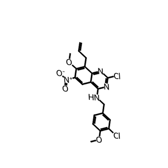 C=CCc1c(OC)c([N+](=O)[O-])cc2c(NCc3ccc(OC)c(Cl)c3)nc(Cl)nc12